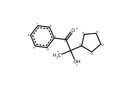 CC(O)(C(=O)c1ccccc1)C1CCCC1